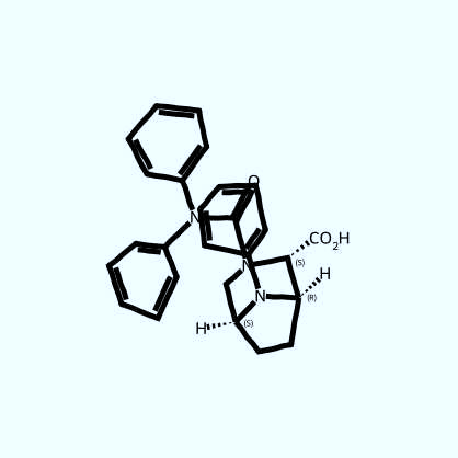 O=C(O)[C@@H]1[C@H]2CC[C@@H](CN1C(=O)N(c1ccccc1)c1ccccc1)N2c1ccccc1